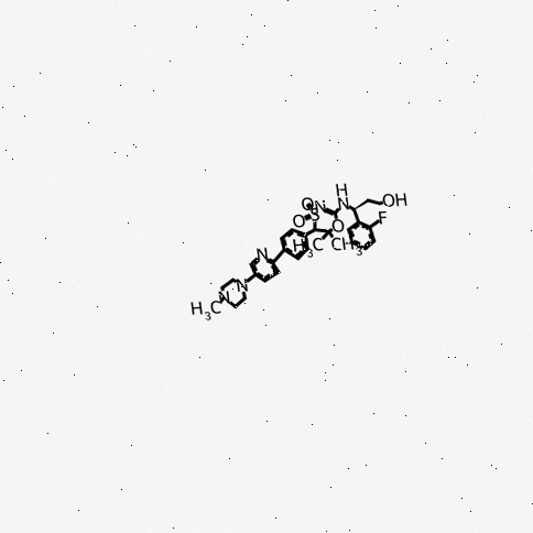 CN1CCN(c2ccc(-c3ccc(C4C(C)(C)OC(N[C@@H](CCO)c5ccccc5F)=NS4(=O)=O)cc3)nc2)CC1